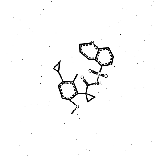 COc1ccc(C2CC2)c(C)c1C1(C(=O)NS(=O)(=O)c2cccc3ncccc23)CC1